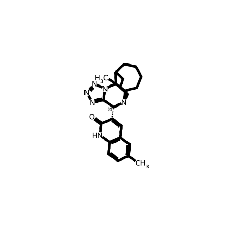 Cc1ccc2[nH]c(=O)c([C@@H]3c4nnnn4C4(C)C5CCCCC4N3CCC5)cc2c1